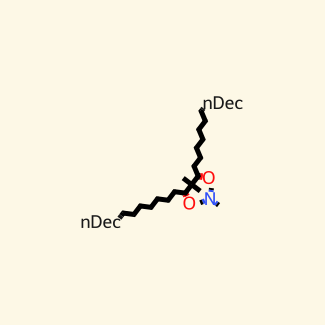 CCCCCCCCCCCCCCCCCC(=O)C(C)(C)C(=O)CCCCCCCCCCCCCCCCC.CN(C)C